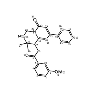 COc1cccc(C(=O)CC2c3nc(-c4ccncn4)cc(=O)n3CNC2(C)C)c1